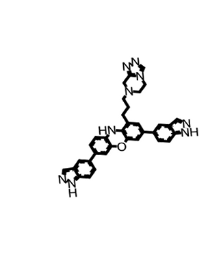 c1cc2c(cc1-c1ccc3[nH]ncc3c1)Oc1cc(-c3ccc4[nH]ncc4c3)cc(CCCN3CCn4cnnc4C3)c1N2